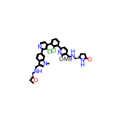 COc1nc(-c2cccc(-c3ccnc(-c4ccc5c(CNC[C@@H]6CCO6)cn(C)c5c4)c3Cl)c2Cl)ccc1CNC[C@H]1CCC(=O)N1